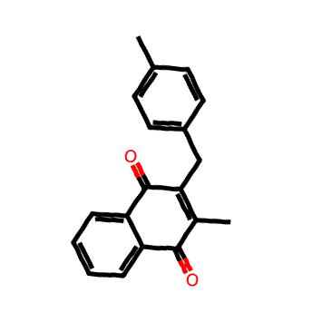 CC1=C(Cc2ccc(C)cc2)C(=O)c2ccccc2C1=O